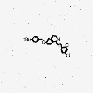 CC(C)(C)c1ccc(COc2ccc3c(c2)CCN=C3/C=C/c2ccc(Cl)cc2Cl)cc1